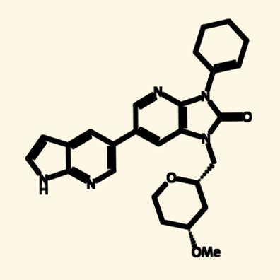 CO[C@@H]1CCO[C@H](Cn2c(=O)n(C3=CCCCC3)c3ncc(-c4cnc5[nH]ccc5c4)cc32)C1